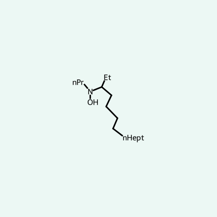 CCCCCCCCCCCC(CC)N(O)CCC